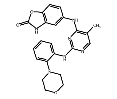 Cc1cnc(Nc2ccccc2N2CCOCC2)nc1Nc1ccc2oc(=O)[nH]c2c1